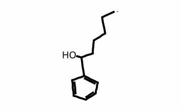 [CH2]CCCCC(O)c1ccccc1